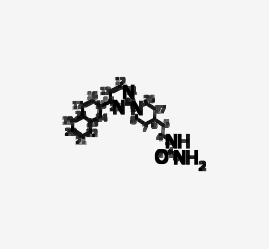 NC(=O)NCCC1CCN(c2nccc(-c3ccc4ccccc4c3)n2)CC1